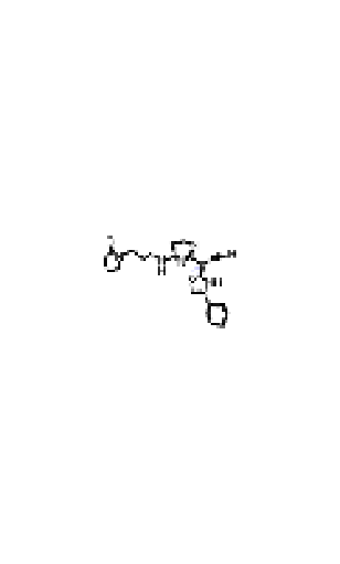 C#C/C(=C1\NC(c2ccccc2)=CS1)c1nccc(NCCCN2CCCC2=O)n1